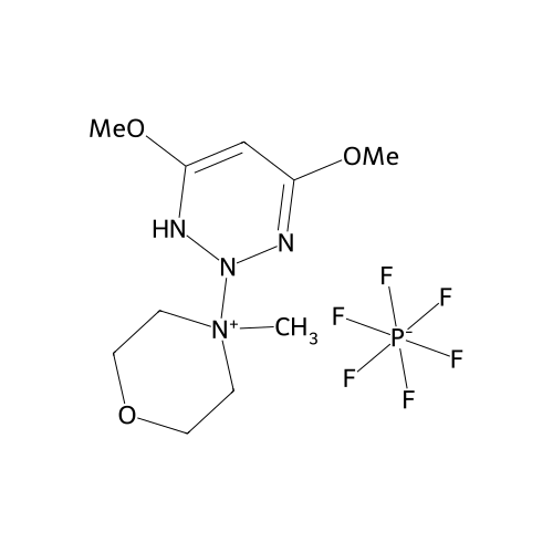 COC1=CC(OC)=NN([N+]2(C)CCOCC2)N1.F[P-](F)(F)(F)(F)F